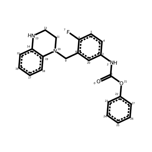 O=C(Nc1ccc(F)c(CN2CCNc3ccccc32)c1)Oc1ccccc1